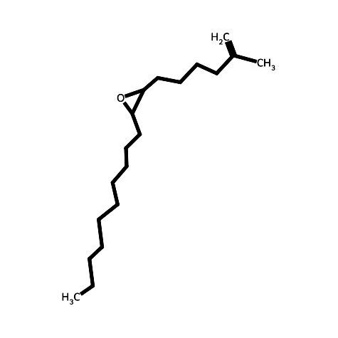 C=C(C)CCCCC1OC1CCCCCCCCCC